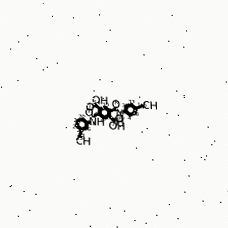 C#Cc1ccc(NC(=O)c2cc(C(=O)O)c(C(=O)Nc3cccc(C#C)c3)cc2C(=O)O)cc1